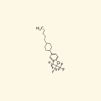 CCCCCC1CCC(c2ccc(OC(C(F)(F)F)(C(F)(F)F)C(F)(F)F)cc2)CC1